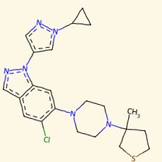 CC1(N2CCN(c3cc4c(cnn4-c4cnn(C5CC5)c4)cc3Cl)CC2)CCSC1